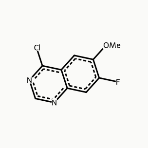 COc1cc2c(Cl)ncnc2cc1F